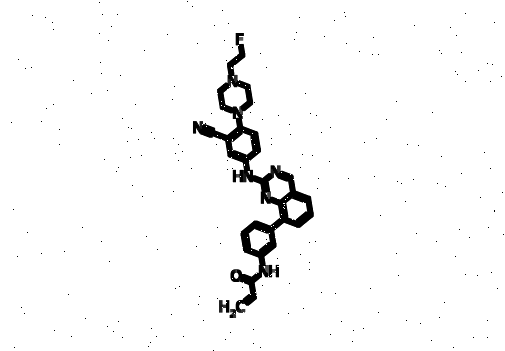 C=CC(=O)Nc1cccc(-c2cccc3cnc(Nc4ccc(N5CCN(CCF)CC5)c(C#N)c4)nc23)c1